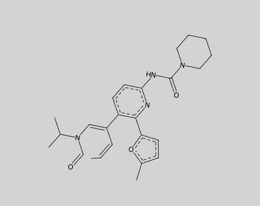 C/C=C\C(=C/N(C=O)C(C)C)c1ccc(NC(=O)N2CCCCC2)nc1-c1ccc(C)o1